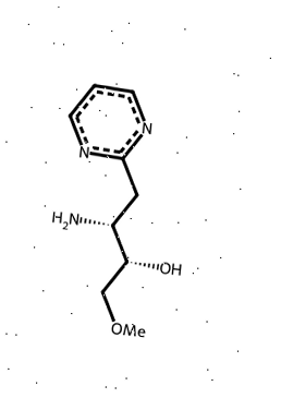 COC[C@@H](O)[C@H](N)Cc1ncccn1